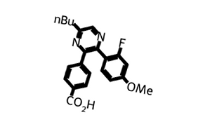 CCCCc1cnc(-c2ccc(OC)cc2F)c(-c2ccc(C(=O)O)cc2)n1